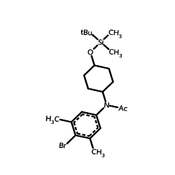 CC(=O)N(c1cc(C)c(Br)c(C)c1)C1CCC(O[Si](C)(C)C(C)(C)C)CC1